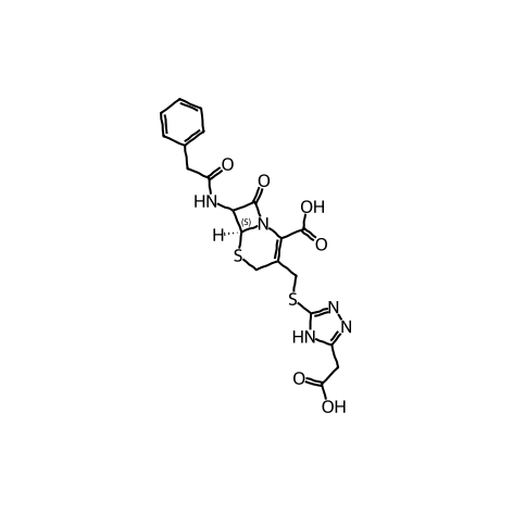 O=C(O)Cc1nnc(SCC2=C(C(=O)O)N3C(=O)C(NC(=O)Cc4ccccc4)[C@@H]3SC2)[nH]1